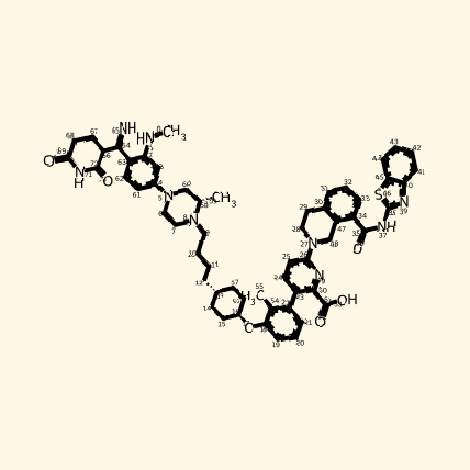 CNc1cc(N2CCN(CCCC[C@H]3CC[C@H](Oc4cccc(-c5ccc(N6CCc7cccc(C(=O)Nc8nc9ccccc9s8)c7C6)nc5C(=O)O)c4C)CC3)[C@@H](C)C2)ccc1C(=N)C1CCC(=O)NC1=O